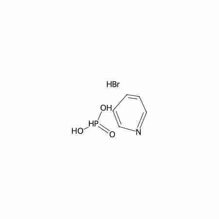 Br.O=[PH](O)O.c1ccncc1